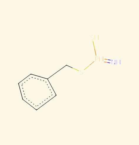 N=[PH](S)SCc1ccccc1